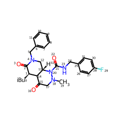 CCC(C)[C@H]1C(=O)N(Cc2ccccc2)C[C@H]2C1C(=O)CN(C)N2C(=O)NCc1ccc(F)cc1